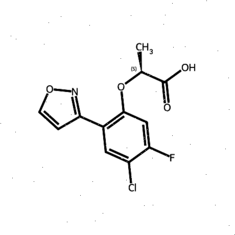 C[C@H](Oc1cc(F)c(Cl)cc1-c1ccon1)C(=O)O